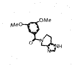 COc1cc(OC)cc(C(=O)N2CCc3[nH]cnc3C2)c1